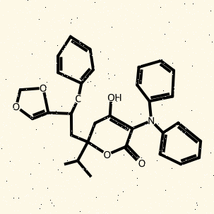 CC(C)C1(CC(Cc2ccccc2)C2=COCO2)CC(O)=C(N(c2ccccc2)c2ccccc2)C(=O)O1